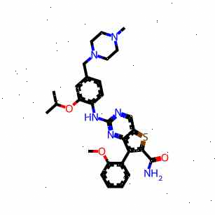 COc1ccccc1-c1c(C(N)=O)sc2cnc(Nc3ccc(CN4CCN(C)CC4)cc3OC(C)C)nc12